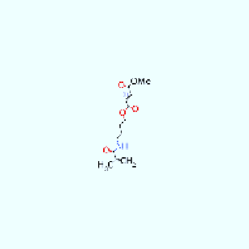 C=C(C)C(=O)NCCCCOC(=O)/C=C/C(=O)OC